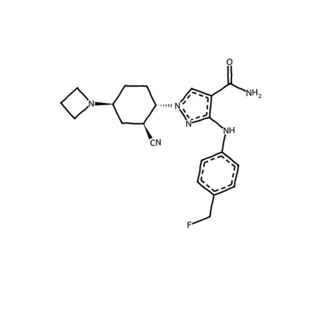 N#C[C@H]1C[C@@H](N2CCC2)CC[C@@H]1n1cc(C(N)=O)c(Nc2ccc(CF)cc2)n1